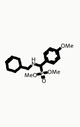 COc1ccc(C(NCC2CC=CCC2)P(=O)(OC)OC)cc1